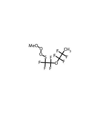 COOOSC(F)(F)C(F)(F)OC(F)(F)C(C)(F)F